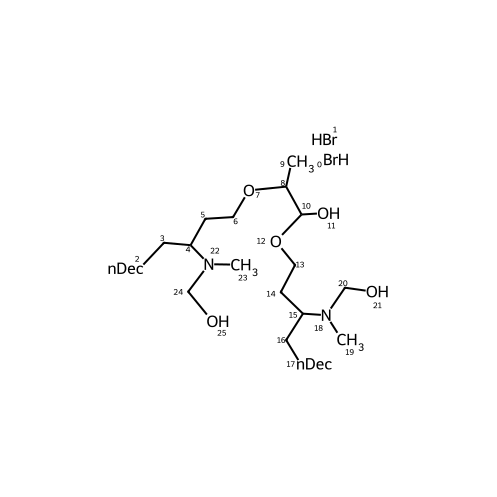 Br.Br.CCCCCCCCCCCC(CCOC(C)C(O)OCCC(CCCCCCCCCCC)N(C)CO)N(C)CO